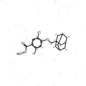 CC(C)(C)OC(=O)c1cc(Cl)c(OCC23CC4CC(CC(C4)C2)C3)cc1F